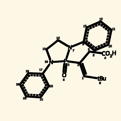 CC(C)(C)C=C(CC(=O)O)P1(=O)N(c2ccccc2)CCN1c1ccccc1